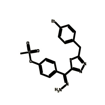 CCc1ccc(Cc2nnc(C(=NN)c3ccc(OS(C)(=O)=O)cc3)s2)cc1